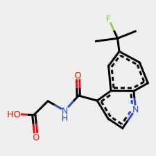 CC(C)(F)c1ccc2nccc(C(=O)NCC(=O)O)c2c1